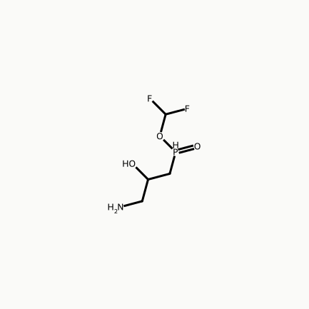 NCC(O)C[PH](=O)OC(F)F